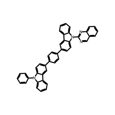 c1ccc(-n2c3ccccc3c3cc(-c4ccc(-c5ccc6c(c5)c5ccccc5n6-c5ncc6ccccc6n5)cc4)ccc32)cc1